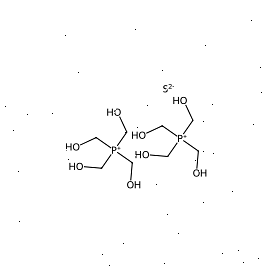 OC[P+](CO)(CO)CO.OC[P+](CO)(CO)CO.[S-2]